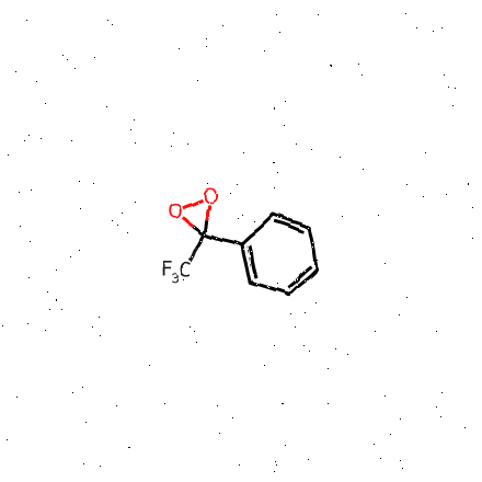 FC(F)(F)C1(c2ccccc2)OO1